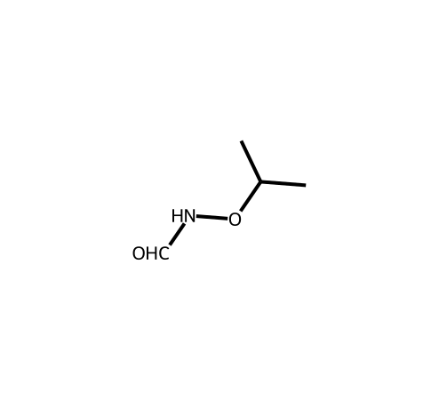 CC(C)ONC=O